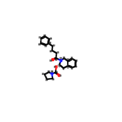 O=C(O[C@H]1Cc2ccccc2CN1C(=O)CCCc1ccccc1)N1CCCC1